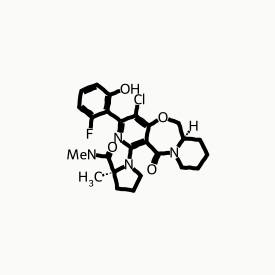 CNC(=O)[C@]1(C)CCCN1c1nc(-c2c(O)cccc2F)c(Cl)c2c1C(=O)N1CCCC[C@@H]1CO2